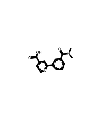 CN(C)C(=O)c1cccc(-c2cc(C(=O)O)ccn2)c1